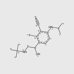 CC(C)Nc1ccc(C(O)CNC(C)(C)C)c(F)c1C#N